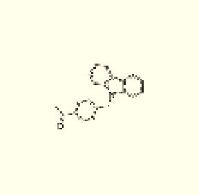 CC(=O)c1ccc(Cn2c3ccccc3c3ccccc32)cc1